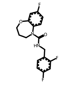 O=C(NCc1ccc(F)cc1F)N1CCCOc2cc(F)ccc21